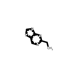 CCc1ncc2s[c]nc2n1